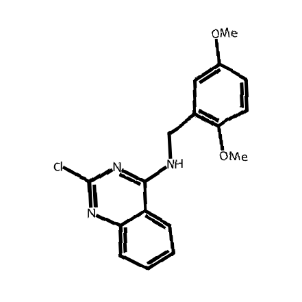 COc1ccc(OC)c(CNc2nc(Cl)nc3ccccc23)c1